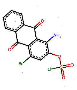 Nc1c(OS(=O)(=O)Cl)cc(Br)c2c1C(=O)c1ccccc1C2=O